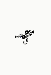 CC1c2ccccc2N(Cc2nc3cc(/C(N)=N/O)ccc3n2CCCC(F)(F)F)C(=O)N1C1CC1